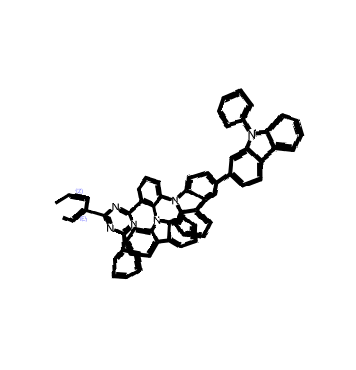 C/C=C\C(=C/C)c1nc(C2=C(n3c4ccccc4c4ccccc43)C(n3c4ccccc4c4cc(-c5ccc6c7ccccc7n(-c7ccccc7)c6c5)ccc43)=CCC2)nc(-c2ccccc2)n1